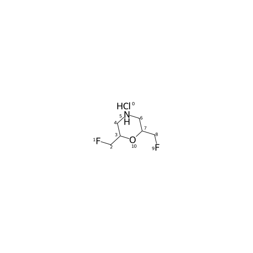 Cl.FCC1CNCC(CF)O1